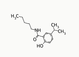 CCCCCNC(=O)c1cc(C(C)C)ccc1O